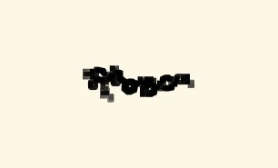 CC1C(=O)NCCN1c1ncc(-c2cccc(Nc3nccc(N4CCN(C)CC4)n3)c2)o1